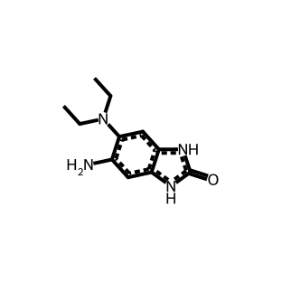 CCN(CC)c1cc2[nH]c(=O)[nH]c2cc1N